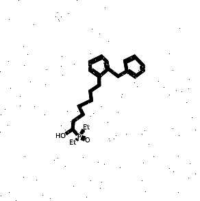 CCP(=O)(CC)C(O)CCCCCCc1ccccc1Cc1ccccc1